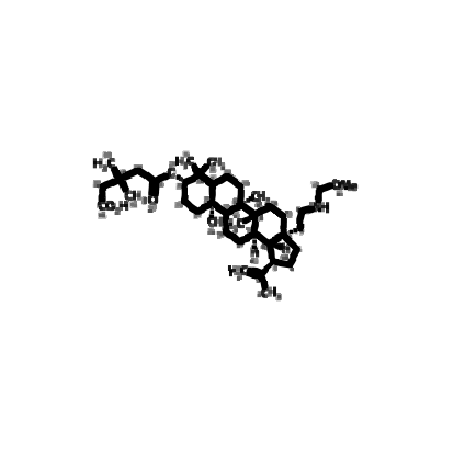 C=C(C)[C@@H]1CC[C@]2(CCNCOC)CC[C@]3(C)[C@H](CCC4[C@@]5(C)CC[C@H](OC(=O)CC(C)(C)CC(=O)O)C(C)(C)C5CC[C@]43C)[C@@H]12